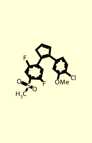 COc1cc(C2=C(c3cc(F)c(S(C)(=O)=O)cc3F)CC=C2)ccc1Cl